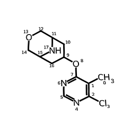 Cc1c(Cl)ncnc1OC1CC2COCC(C1)N2